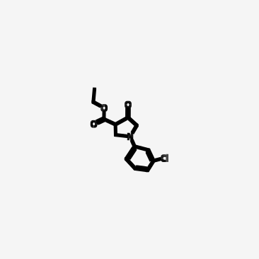 CCOC(=O)C1CN(c2cccc(Cl)c2)CC1=O